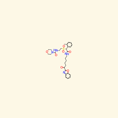 Cc1ccccc1C(C(=O)NCCCCCC(=O)c1nc2ccccc2o1)S(=O)(=O)CCNC(=O)N1CCOCC1